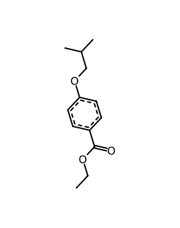 CCOC(=O)c1ccc(OCC(C)C)cc1